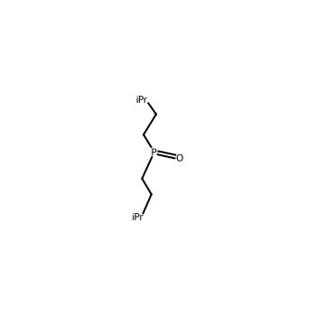 CC(C)CC[P](=O)CCC(C)C